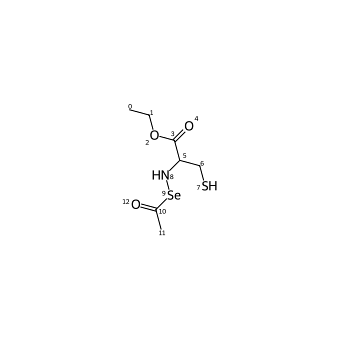 CCOC(=O)C(CS)N[Se]C(C)=O